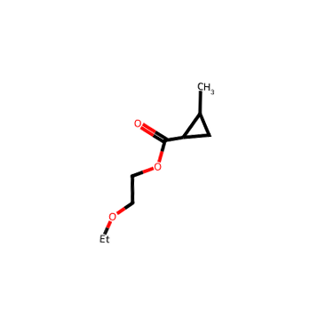 CCOCCOC(=O)C1CC1C